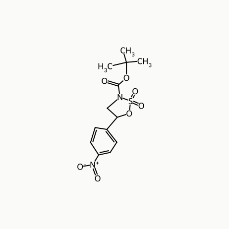 CC(C)(C)OC(=O)N1CC(c2ccc([N+](=O)[O-])cc2)OS1(=O)=O